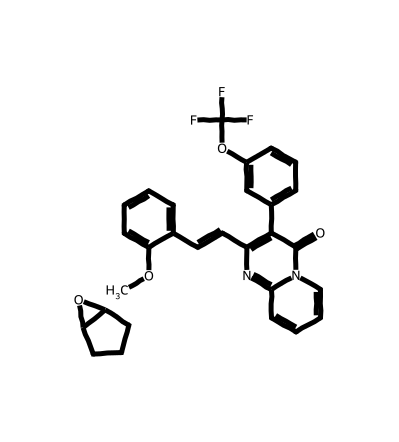 C1CC2OC2C1.COc1ccccc1C=Cc1nc2ccccn2c(=O)c1-c1cccc(OC(F)(F)F)c1